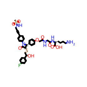 CS(=O)(=O)NCC#Cc1ccc(N2C(=O)[C@H](SC[C@H](O)c3ccc(F)cc3)[C@H]2c2ccc(OCC(=O)NCC(=O)N[C@H](CCCCN)C(=O)O)cc2)cc1